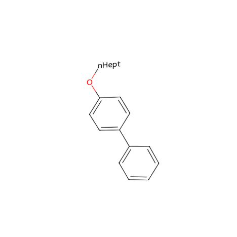 CCCCCCCOc1ccc(-c2ccccc2)cc1